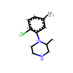 CC1CNCCN1c1cc(C(F)(F)F)ccc1Cl